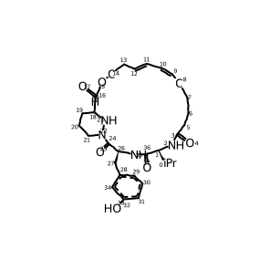 CC(C)[C@@H]1NC(=O)CCCC/C=C/C=C/CCOC(=O)[C@@H]2CCCN(N2)C(=O)[C@H](Cc2cccc(O)c2)NC1=O